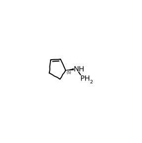 PN[C@@H]1C=CCC1